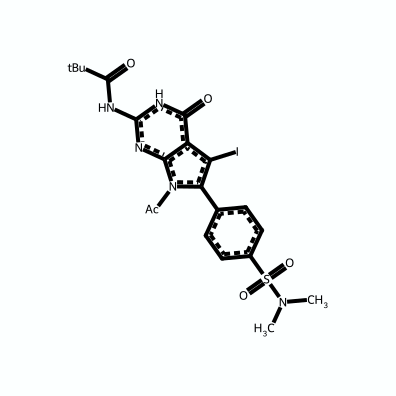 CC(=O)n1c(-c2ccc(S(=O)(=O)N(C)C)cc2)c(I)c2c(=O)[nH]c(NC(=O)C(C)(C)C)nc21